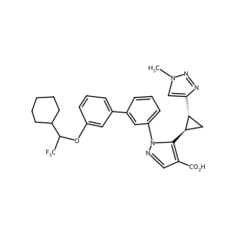 Cn1cc([C@@H]2C[C@H]2c2c(C(=O)O)cnn2-c2cccc(-c3cccc(OC(C4CCCCC4)C(F)(F)F)c3)c2)nn1